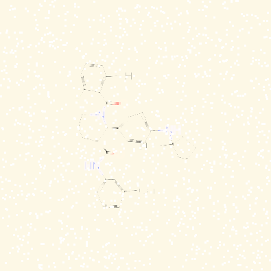 Cc1cccc(F)c1C(=O)N1CCC[C@H](C(=O)Nc2cccc(C(C)(C)C)c2)[C@@H]1c1ccc(NC2(C)CCCC2)cc1